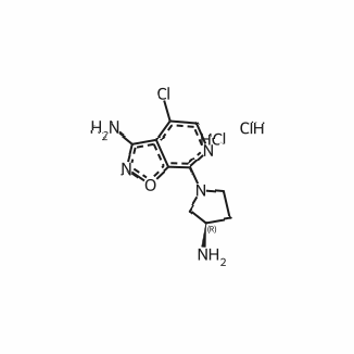 Cl.Cl.Nc1noc2c(N3CC[C@@H](N)C3)ncc(Cl)c12